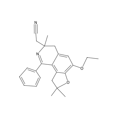 CCOc1cc2c(c3c1OC(C)(C)C3)C(c1ccccc1)=NC(C)(CC#N)C2